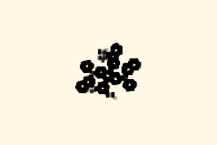 Cc1cc(C)cc(-c2c3ccc(N(c4ccccc4)c4ccc5ccccc5c4)cc3c(C3=CC4=C(CC3)c3ccccc3C4(C)C)c3ccc(N(c4ccccc4)c4ccc5ccccc5c4)cc23)c1